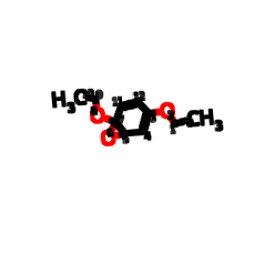 CCOC1=CC2OC2(OCC)C=C1